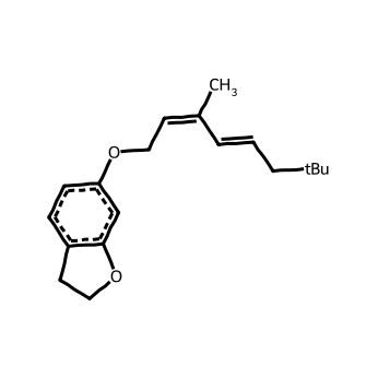 CC(C=CCC(C)(C)C)=CCOc1ccc2c(c1)OCC2